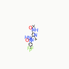 CC(C)(C)C(=O)NCc1cnc(C2CC2)c(-c2nn(-c3ccc(C(F)(F)F)cc3)c(=O)[nH]2)c1